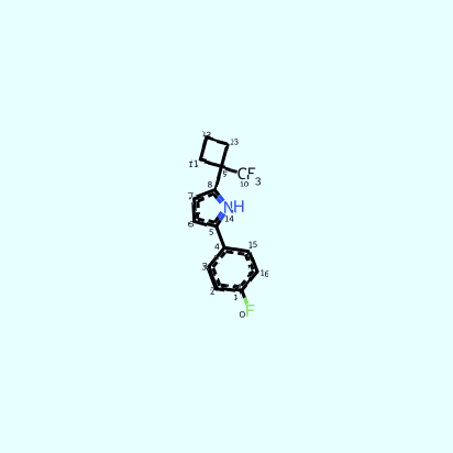 Fc1ccc(-c2ccc(C3(C(F)(F)F)CCC3)[nH]2)cc1